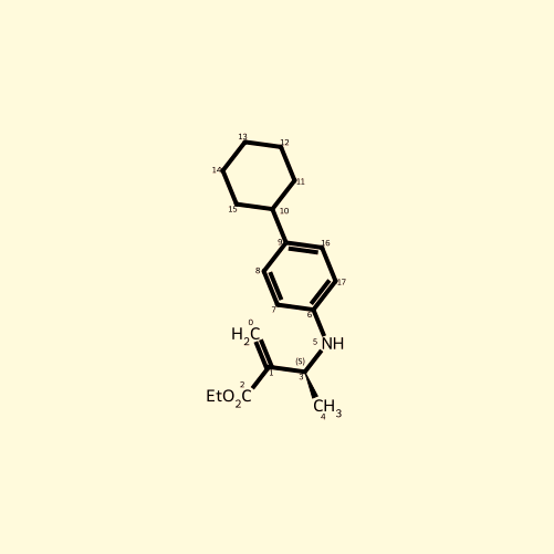 C=C(C(=O)OCC)[C@H](C)Nc1ccc(C2CCCCC2)cc1